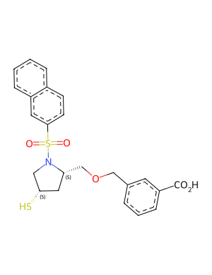 O=C(O)c1cccc(COC[C@@H]2C[C@H](S)CN2S(=O)(=O)c2ccc3ccccc3c2)c1